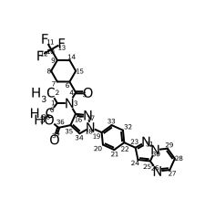 CC(C)N(C(=O)C1CCC(C(F)(F)F)CC1)c1nn(-c2ccc(-c3cc4ncccn4n3)cc2)cc1C(=O)O